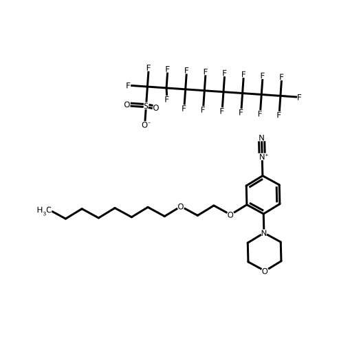 CCCCCCCCOCCOc1cc([N+]#N)ccc1N1CCOCC1.O=S(=O)([O-])C(F)(F)C(F)(F)C(F)(F)C(F)(F)C(F)(F)C(F)(F)C(F)(F)C(F)(F)F